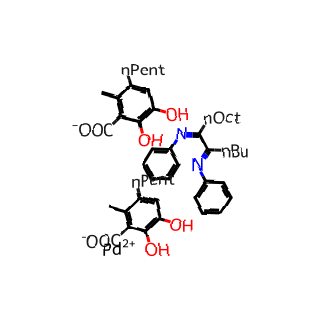 CCCCCCCCC(=Nc1ccccc1)C(CCCC)=Nc1ccccc1.CCCCCc1cc(O)c(O)c(C(=O)[O-])c1C.CCCCCc1cc(O)c(O)c(C(=O)[O-])c1C.[Pd+2]